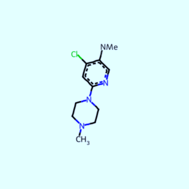 CNc1cnc(N2CCN(C)CC2)cc1Cl